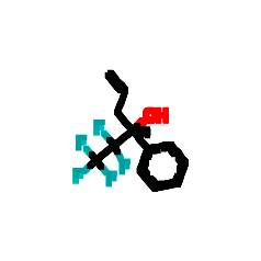 C=CC[C@](O)(c1ccccc1)C(F)(F)C(F)(F)F